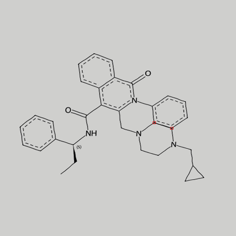 CC[C@H](NC(=O)c1c(CN2CCN(CC3CC3)CC2)n(-c2ccccc2)c(=O)c2ccccc12)c1ccccc1